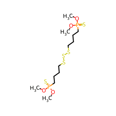 COP(=S)(CCCCSSSCCCCP(=S)(OC)OC)OC